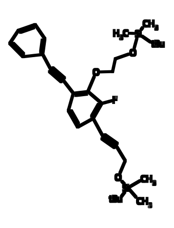 CC(C)(C)[Si](C)(C)OCC#Cc1ccc(C#Cc2ccccc2)c(OCCO[Si](C)(C)C(C)(C)C)c1F